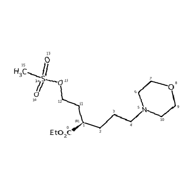 CCOC(=O)[C@H](CCCN1CCOCC1)CCOS(C)(=O)=O